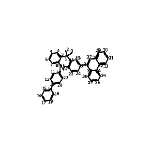 CC1(C)c2ccccc2N(c2ccc(-c3ccccc3)cc2)c2ccc(-c3cc4ccccc4c4ccccc34)cc21